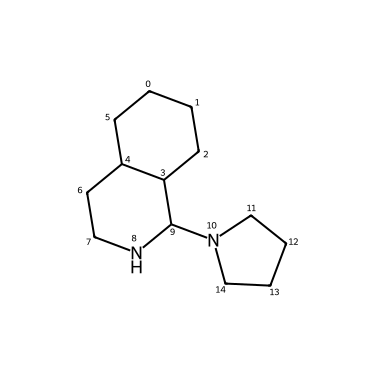 C1CCC2C(C1)CCNC2N1CCCC1